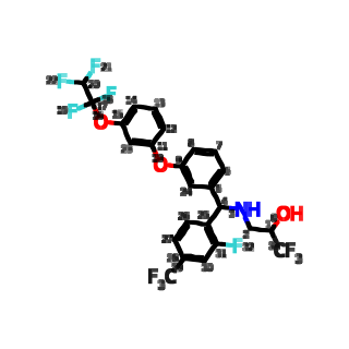 OC(CNC(c1cccc(Oc2cccc(OC(F)(F)C(F)F)c2)c1)c1ccc(C(F)(F)F)cc1F)C(F)(F)F